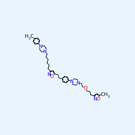 Cc1ccc(N2CCN(CCCCCCc3cc(CCc4ccc(N5CCN(CCOCCCc6cc(C)on6)CC5)cc4)on3)CC2)cc1